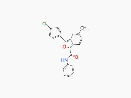 Cc1ccc2c(C(=O)Nc3ccccc3)oc(-c3ccc(Cl)cc3)c2c1